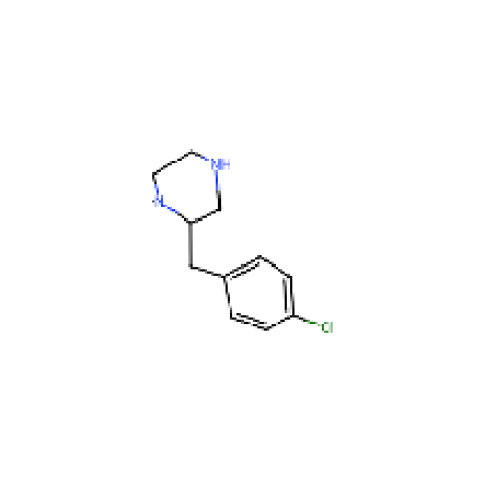 Clc1ccc(CC2CNCC[N]2)cc1